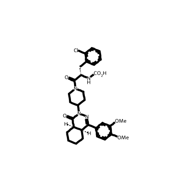 COc1ccc(C2=NN(C3CCN(C(=O)[C@H](Cc4ccccc4Cl)NC(=O)O)CC3)C(=O)[C@@H]3CCCC[C@H]23)cc1OC